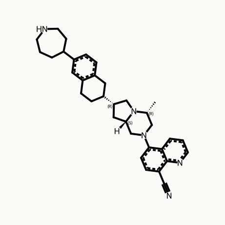 C[C@@H]1CN(c2ccc(C#N)c3ncccc23)C[C@@H]2C[C@H](C3CCc4cc(C5CCCNCC5)ccc4C3)CN21